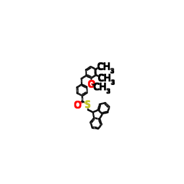 COc1c(Cc2ccc(C(=O)SCC3c4ccccc4-c4ccccc43)cc2)ccc(C)c1C